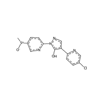 C[S+]([O-])c1ccc(-n2ncc(-c3ccc(Cl)cn3)c2O)nc1